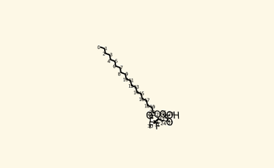 CCCCCCCCCCCCCCCCCCCCC(=O)OC(CS(=O)(=O)O)C(F)(F)F